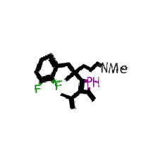 C=C(C)C1=C(C(C)(CCCNC)Cc2cccc(F)c2F)PC1=C